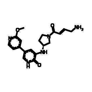 COc1cc(-c2c[nH]c(=O)c(N[C@@H]3CCN(C(=O)/C=C/CN)C3)c2)ccn1